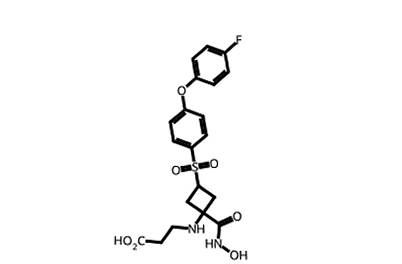 O=C(O)CCNC1(C(=O)NO)CC(S(=O)(=O)c2ccc(Oc3ccc(F)cc3)cc2)C1